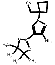 CC1(C)OB(c2cn(C3(CC#N)CCC3)nc2N)OC1(C)C